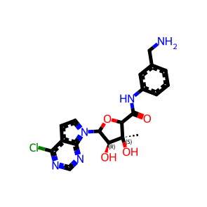 C[C@@]1(O)C(C(=O)Nc2cccc(CN)c2)OC(n2ccc3c(Cl)ncnc32)[C@@H]1O